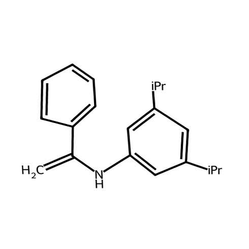 C=C(Nc1cc(C(C)C)cc(C(C)C)c1)c1ccccc1